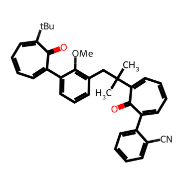 COc1c(CC(C)(C)c2ccccc(-c3ccccc3C#N)c2=O)cccc1-c1ccccc(C(C)(C)C)c1=O